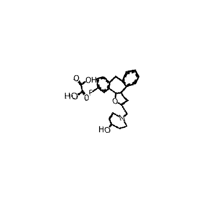 O=C(O)C(=O)O.OC1CCN(CC2CC3c4ccccc4Cc4ccc(F)cc4C3O2)CC1